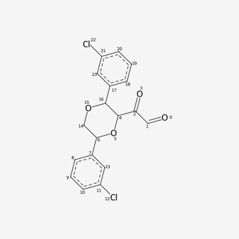 O=CC(=O)C1OC(c2cccc(Cl)c2)COC1c1cccc(Cl)c1